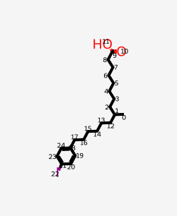 CC(CCCCCCCC(=O)O)CCCCCCc1ccc(I)cc1